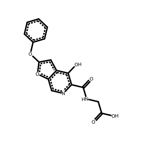 O=C(O)CNC(=O)c1ncc2oc(Oc3ccccc3)cc2c1O